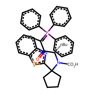 CCCC[C@@H](C(=O)C(C#N)=P(c1ccccc1)(c1ccccc1)c1ccccc1)N(C(=O)O)C1(c2nc3ccccc3s2)CCCC1